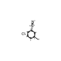 Cc1cccc([N+]#N)c1.[Cl-]